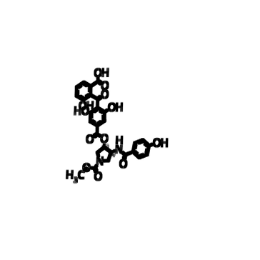 COC(=O)N1C[C@H](NC(=O)c2ccc(O)cc2)[C@@H](OC(=O)c2cc(O)c(C(=O)c3c(O)cccc3C(=O)O)c(O)c2)C1